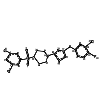 O=S(=O)(c1cc(Cl)cc(Cl)c1)C1CCN(c2nc(Cc3ccc(F)c(Cl)c3)cs2)CC1